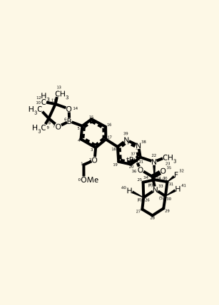 COCOc1cc(B2OC(C)(C)C(C)(C)O2)ccc1-c1ccc(N(C)[C@@H]2C[C@H]3CCC[C@@H]([C@@H]2F)N3C(=O)OC(C)(C)C)nn1